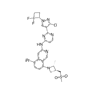 CC(C)c1ccc(N2C[C@H](CS(C)(=O)=O)[C@H]2C)c2cnc(Nc3ccnc(-c4cn(C5CCC5(F)F)nc4Cl)n3)cc12